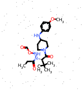 CCC(=O)N(NOC=O)[C@H](C(=O)N1CCC(Nc2ccc(OC)cc2)CC1)C(C)(C)C